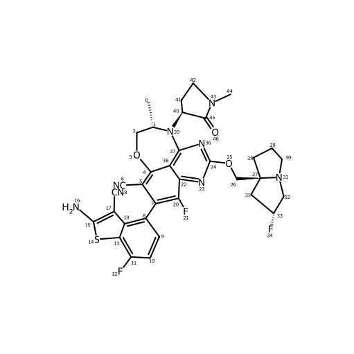 C[C@H]1COc2c(C#N)c(-c3ccc(F)c4sc(N)c(C#N)c34)c(F)c3nc(OC[C@@]45CCCN4C[C@H](F)C5)nc(c23)N1[C@H]1CCN(C)C1=O